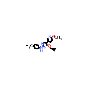 COc1ccc(-c2cnc(NC3CCC(C)CC3)nc2OCC2CC2)cn1